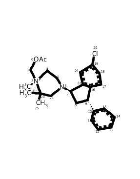 CC(=O)OC[N@@+]1(C)CCN([C@@H]2C[C@@H](c3ccccc3)c3ccc(Cl)cc32)CC1(C)C